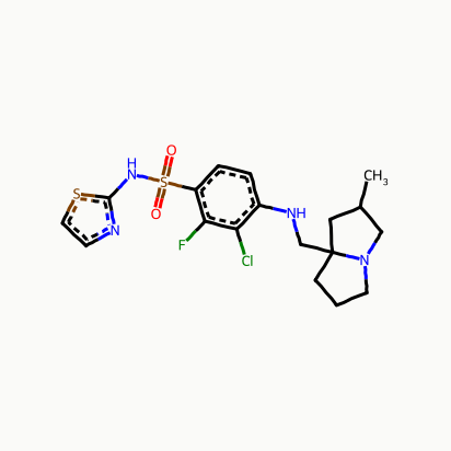 CC1CN2CCCC2(CNc2ccc(S(=O)(=O)Nc3nccs3)c(F)c2Cl)C1